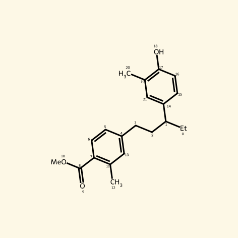 CCC(CCc1ccc(C(=O)OC)c(C)c1)c1ccc(O)c(C)c1